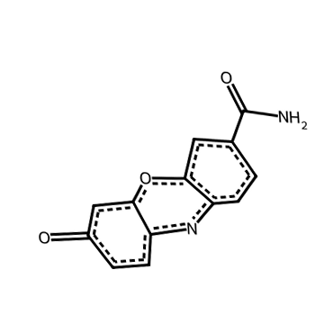 NC(=O)c1ccc2nc3ccc(=O)cc-3oc2c1